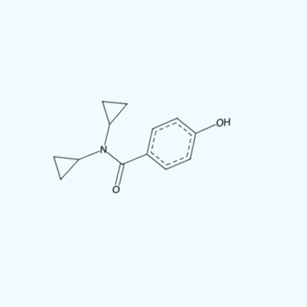 O=C(c1ccc(O)cc1)N(C1CC1)C1CC1